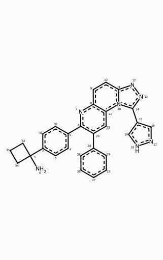 NC1(c2ccc(-c3nc4ccc5nnc(-c6cn[nH]c6)n5c4cc3-c3ccccc3)cc2)CCC1